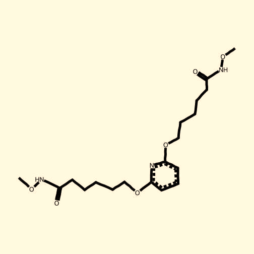 CONC(=O)CCCCCOc1cccc(OCCCCCC(=O)NOC)n1